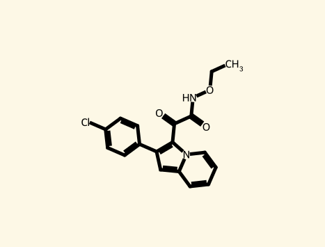 CCONC(=O)C(=O)c1c(-c2ccc(Cl)cc2)cc2ccccn12